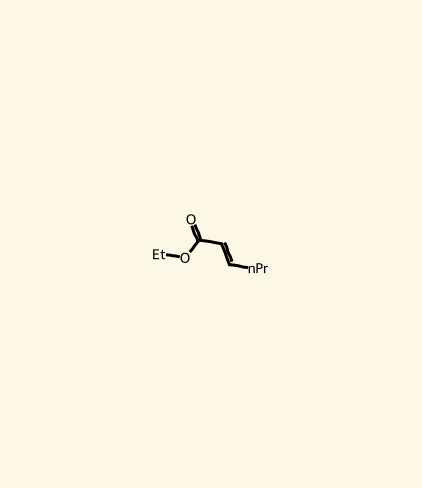 [CH2]CCC=CC(=O)OCC